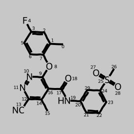 Cc1cc(F)ccc1Oc1nnc(C#N)c(C)c1C(=O)Nc1cccc(S(C)(=O)=O)c1